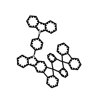 c1ccc2c(c1)-c1ccccc1C21c2ccccc2C2(c3ccccc3-c3cc4c5ccccc5n(-c5ccc(-n6c7ccccc7c7ccccc76)cc5)c4cc32)c2ccccc21